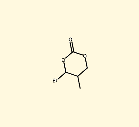 CCC1OC(=O)OCC1C